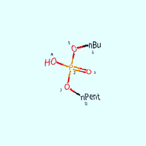 CCCCCOP(=O)(O)OCCCC